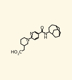 O=C(O)CC1CCCN(c2ccc(C(=O)NC3CCC4CC5CC4CC3C5)cn2)C1